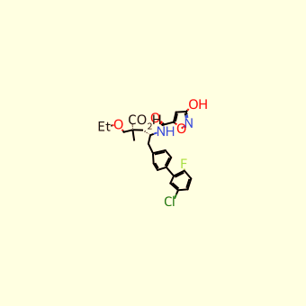 CCOC[C@](C)(C[C@@H](Cc1ccc(-c2cc(Cl)ccc2F)cc1)NC(=O)c1cc(O)no1)C(=O)O